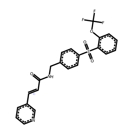 O=C(/C=C/c1cccnc1)NCc1ccc(S(=O)(=O)c2ccccc2OC(F)(F)F)cc1